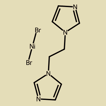 [Br][Ni][Br].c1cn(CCn2ccnc2)cn1